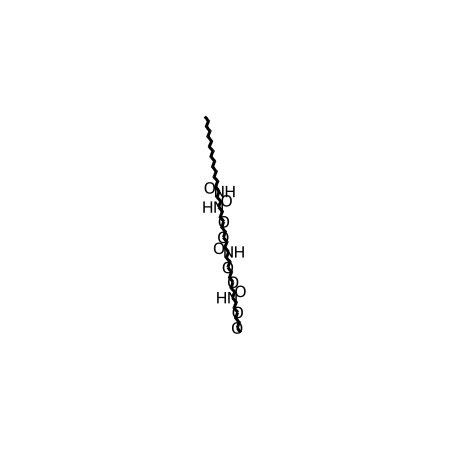 CCCCCCCCCCCCCCC(=O)NCC(=O)NCCOCCOCC(=O)NCCOCCOCC(=O)NCCOCCOC